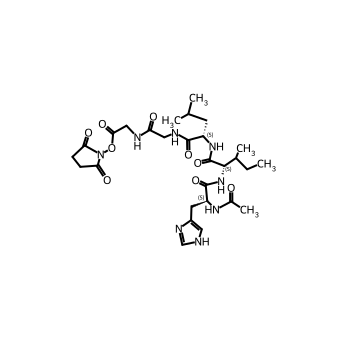 CCC(C)[C@H](NC(=O)[C@H](Cc1c[nH]cn1)NC(C)=O)C(=O)N[C@@H](CC(C)C)C(=O)NCC(=O)NCC(=O)ON1C(=O)CCC1=O